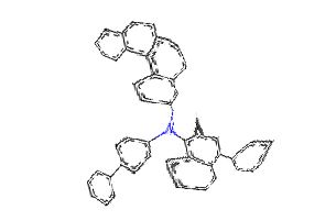 c1ccc(-c2ccc(N(c3ccc4c(ccc5ccc6ccccc6c54)c3)c3ccc(-c4ccccc4)c4ccccc34)cc2)cc1